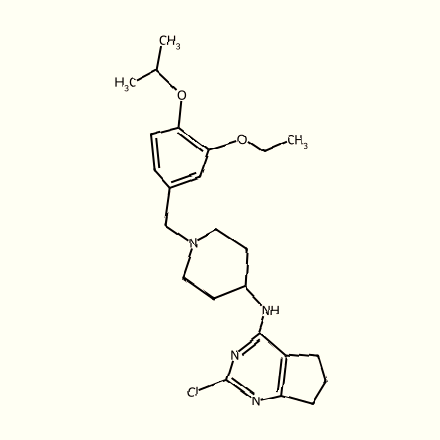 CCOc1cc(CN2CCC(Nc3nc(Cl)nc4c3CCC4)CC2)ccc1OC(C)C